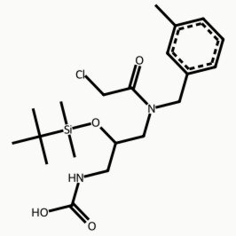 Cc1cccc(CN(CC(CNC(=O)O)O[Si](C)(C)C(C)(C)C)C(=O)CCl)c1